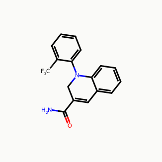 NC(=O)C1=Cc2ccccc2N(c2ccccc2C(F)(F)F)C1